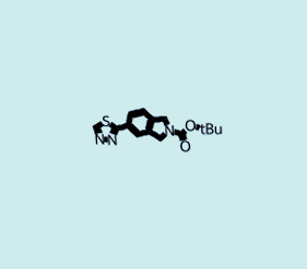 CC(C)(C)OC(=O)N1Cc2ccc(-c3nncs3)cc2C1